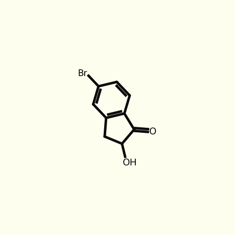 O=C1c2ccc(Br)cc2CC1O